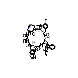 C=CC(C)(C)n1cc(C[C@@H]2NC(=O)[C@H](Cc3ccc(F)cc3)NC(=O)[C@H](CC(C)C)N3CC/C=C\C[C@@H](C3=O)N(C)C(=O)[C@H](C)NC(=O)[C@H](Cc3ccc4ncsc4c3)NC(=O)[C@H](CC(C)C)N(C)C2=O)c2ccccc21